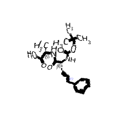 C[C@H](NC(=O)[C@@H](C/C=C/c1ccccc1)NC(=O)OC(C)(C)C)C(=O)O